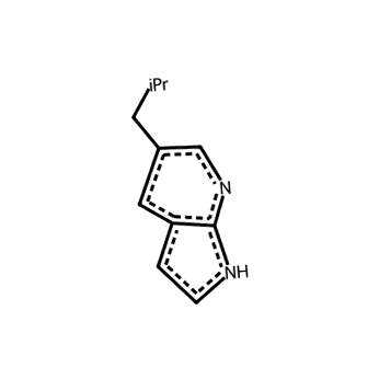 CC(C)Cc1cnc2[nH]ccc2c1